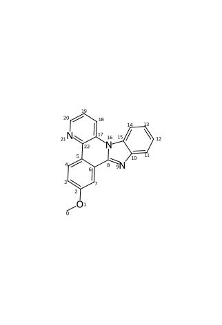 COc1ccc2c(c1)c1nc3ccccc3n1c1cccnc21